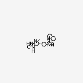 Cc1nc2[nH]c(=O)[nH]c2cc1-c1ccc(NS(=O)(=O)c2cccc3cccnc23)cc1